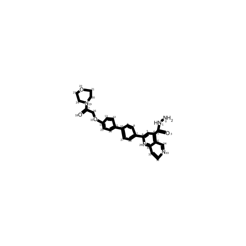 NNC(=O)c1cc(-c2ccc(-c3ccc(OCC(=O)N4CCOCC4)cc3)cc2)nc2ccncc12